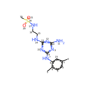 Cc1ccc(C)c(Nc2nc(N)nc(NCCNS(C)(=O)=O)n2)c1